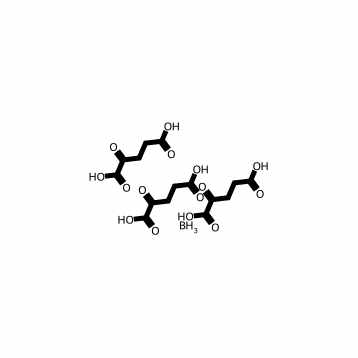 B.O=C(O)CCC(=O)C(=O)O.O=C(O)CCC(=O)C(=O)O.O=C(O)CCC(=O)C(=O)O